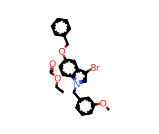 CCOC=O.COc1cccc(Cn2cc(Br)c3cc(OCc4ccccc4)ccc32)c1